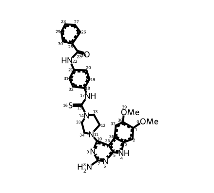 COc1cc2[nH]c3nc(N)nc(N4CCN(C(=S)Nc5ccc(NC(=O)c6ccccc6)cc5)CC4)c3c2cc1OC